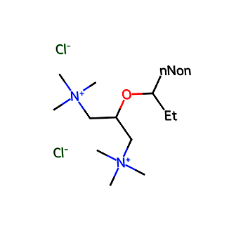 CCCCCCCCCC(CC)OC(C[N+](C)(C)C)C[N+](C)(C)C.[Cl-].[Cl-]